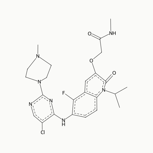 CNC(=O)COc1cc2c(F)c(Nc3nc(N4CCN(C)CC4)ncc3Cl)ccc2n(C(C)C)c1=O